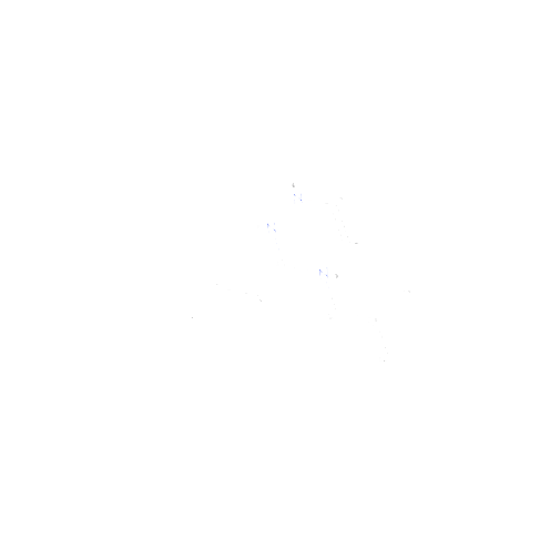 CCCCC1N=NC=CN1CC(C)C